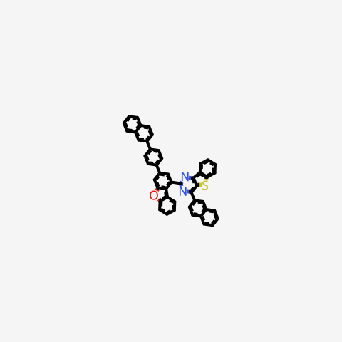 c1ccc2cc(-c3ccc(-c4cc(-c5nc(-c6ccc7ccccc7c6)c6sc7ccccc7c6n5)c5c(c4)oc4ccccc45)cc3)ccc2c1